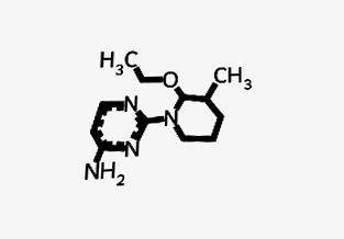 CCOC1C(C)CCCN1c1nccc(N)n1